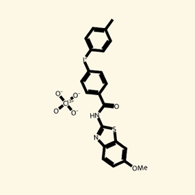 COc1ccc2nc(NC(=O)c3ccc([I+]c4ccc(C)cc4)cc3)sc2c1.[O-][Cl+3]([O-])([O-])[O-]